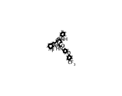 O=C(CN(CC(=O)Nc1ccc(Oc2ccc(C(F)(F)F)cc2)cc1)C(=O)C1Cc2cccc(F)c2N1)Nc1ccccc1